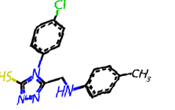 Cc1ccc(NCc2nnc(S)n2-c2ccc(Cl)cc2)cc1